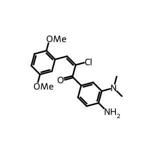 COc1ccc(OC)c(/C=C(/Cl)C(=O)c2ccc(N)c(N(C)C)c2)c1